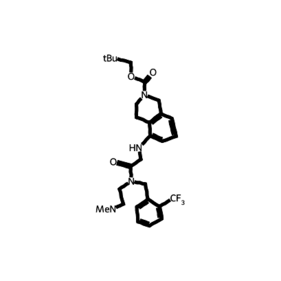 CNCCN(Cc1ccccc1C(F)(F)F)C(=O)CNc1cccc2c1CCN(C(=O)OCC(C)(C)C)C2